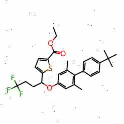 CCOC(=O)c1ccc(C(CCC(F)(F)F)Oc2cc(C)c(-c3ccc(C(C)(C)C)cc3)c(C)c2)s1